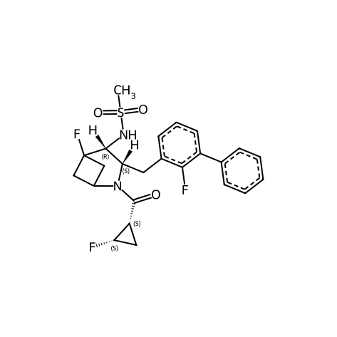 CS(=O)(=O)N[C@@H]1[C@H](Cc2cccc(-c3ccccc3)c2F)N(C(=O)[C@@H]2C[C@@H]2F)C2CC1(F)C2